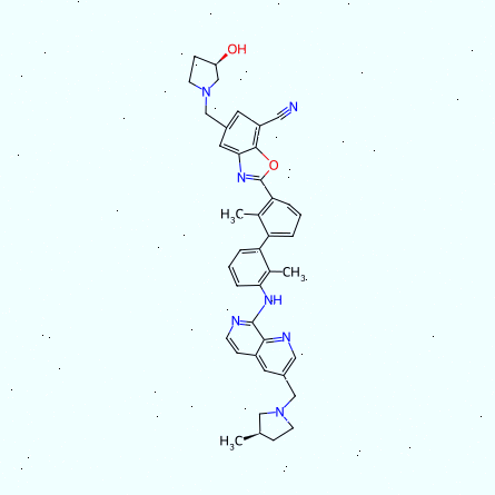 Cc1c(Nc2nccc3cc(CN4CC[C@@H](C)C4)cnc23)cccc1-c1cccc(-c2nc3cc(CN4CC[C@@H](O)C4)cc(C#N)c3o2)c1C